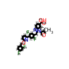 CC1(C)COCC1n1c(Cc2cc(F)c(-c3cccc(OCc4ccc(F)cc4F)n3)cc2F)nc2ccc(C(=O)O)cc21